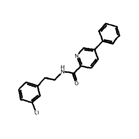 O=C(NCCc1cccc(Cl)c1)c1ccc(-c2ccccc2)cn1